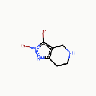 Brc1c2c(nn1Br)CCNC2